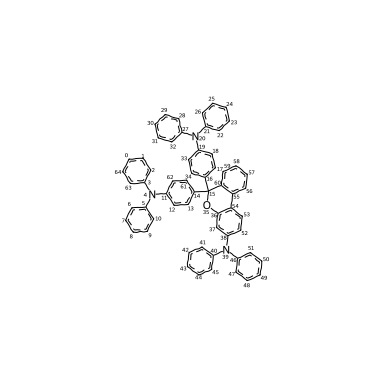 c1ccc(N(c2ccccc2)c2ccc(C3(c4ccc(N(c5ccccc5)c5ccccc5)cc4)Oc4cc(N(c5ccccc5)c5ccccc5)ccc4-c4ccccc43)cc2)cc1